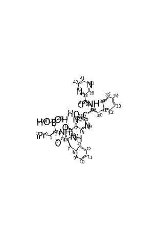 CC(C)C[C@H](NC(=O)[C@H](Cc1ccccc1)NC(=O)c1cnccn1)B(O)O.O=C(N[C@@H](Cc1ccccc1)C(=O)O)c1cnccn1